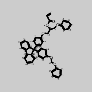 C=CC(=O)OC(COc1ccccc1)COc1ccc(C2(c3ccc(OCOc4ccccc4)cc3)c3ccccc3-c3ccccc32)cc1